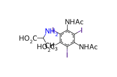 CC(=O)Nc1c(I)c(NC(C)=O)c(I)c(C(=O)O)c1I.CC(N)C(=O)O